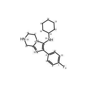 Fc1ccc(-c2nc3n(c2NC2CCCCC2)CCNC3)cc1